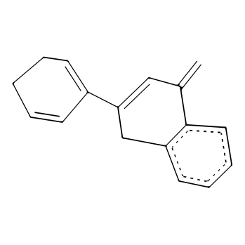 C=C1C=C(C2=CCCC=C2)Cc2ccccc21